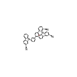 N#Cc1ccc2c(c1)c1ccccc1n2-c1c(C#N)cccc1-c1ccc(-c2cccc(-n3c4ccccc4c4ccc(C#N)cc43)c2)cc1